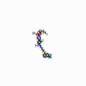 CC(C)(C)OC(=O)N1CCN(c2ccc(NCCCCCCSc3ccnc4cc(C(F)(F)F)ccc34)cc2Cl)CC1